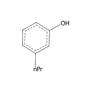 CCCc1c[c]cc(O)c1